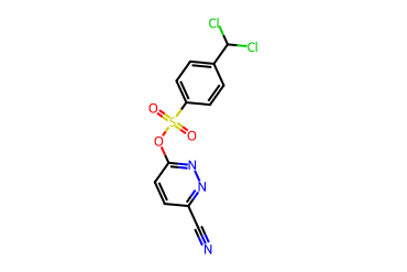 N#Cc1ccc(OS(=O)(=O)c2ccc(C(Cl)Cl)cc2)nn1